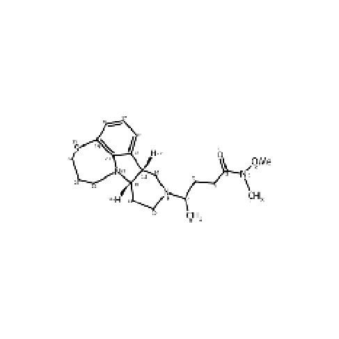 CON(C)C(=O)CCC(C)N1CC[C@H]2[C@@H](C1)c1cccc3c1N2CCCS3